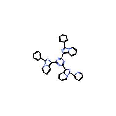 c1ccc(-c2nc(-c3nc(-c4nc(-c5ccccc5)n5ccccc45)nc(-c4nc(-c5ccccn5)n5ccccc45)n3)c3ccccn23)cc1